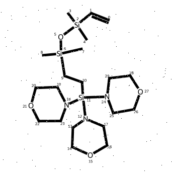 C=C[Si](C)(C)O[Si](C)(C)CC[Si](N1CCOCC1)(N1CCOCC1)N1CCOCC1